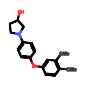 COc1ccc(Oc2ccc(N3CCC(O)C3)cc2)cc1OC